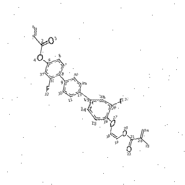 C=CC(=O)Oc1ccc(-c2ccc(-c3ccc(O/C=C\OC(=O)C(=C)C)c(F)c3)cc2)c(F)c1